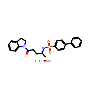 CC(CCC(=O)N1CCc2ccccc21)NS(=O)(=O)c1ccc(-c2ccccc2)cc1.O=C(O)O